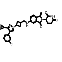 C=C1c2ccc(NCC3CC(n4cc(-c5cccc(Cl)c5)c(C5CC5)n4)C3)cc2C(=O)N1C1CCC(=O)NC1=O